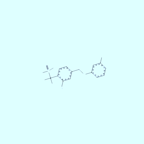 O=P(O)(O)C(F)(F)c1ccc(CSc2cccc(Cl)c2)cc1Br